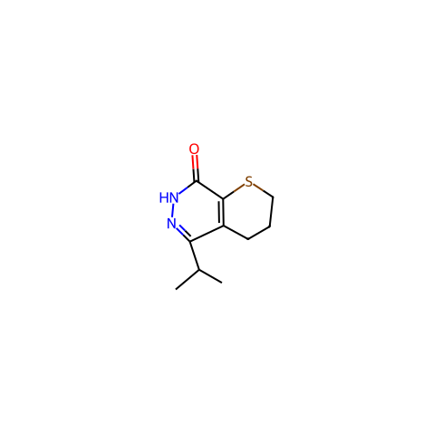 CC(C)c1n[nH]c(=O)c2c1CCCS2